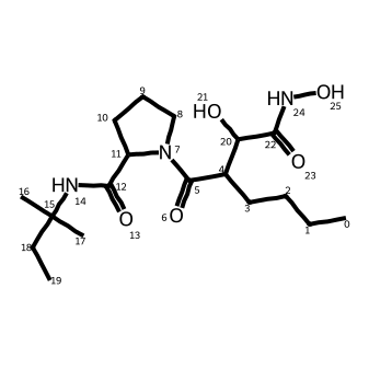 CCCCC(C(=O)N1CCCC1C(=O)NC(C)(C)CC)C(O)C(=O)NO